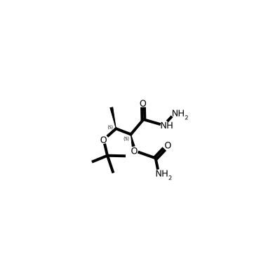 C[C@H](OC(C)(C)C)[C@H](OC(N)=O)C(=O)NN